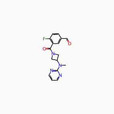 CN(c1ncccn1)C1CN(C(=O)c2cc(C=O)ccc2F)C1